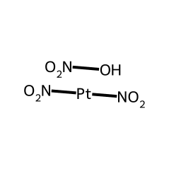 O=[N+]([O-])O.O=[N+]([O-])[Pt][N+](=O)[O-]